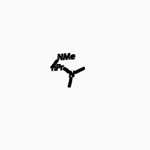 CCCN(C)C.CNC